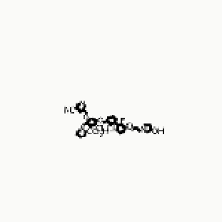 Cc1c(COc2cc(OCc3cncc(C#N)c3)c(CN3CCCCC3C(=O)O)cc2Cl)cccc1-c1cccc(OCCCN2CCC(O)C2)c1F